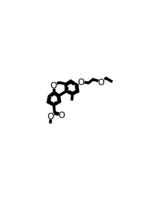 CCOCCOc1cc(C)c2c(c1)COc1ccc(C(=O)OC)cc1-2